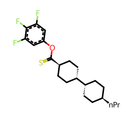 CCC[C@H]1CC[C@H]([C@H]2CC[C@H](C(=S)Oc3cc(F)c(F)c(F)c3)CC2)CC1